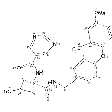 COc1ccc(Oc2ccc(CNC(=O)C3(NC(=O)c4cncnc4)CC(O)C3)cc2)c(C(F)(F)F)c1